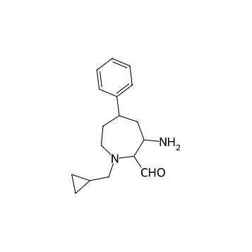 NC1CC(c2ccccc2)CCN(CC2CC2)C1C=O